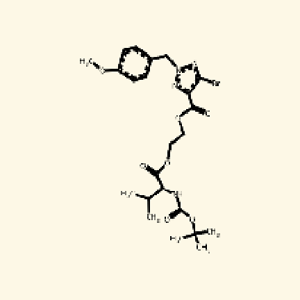 COc1ccc(Cn2nc(Br)c(C(=O)OCCOC(=O)[C@@H](NC(=O)OC(C)(C)C)C(C)C)n2)cc1